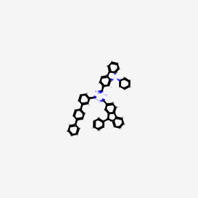 C1=CCC(n2c3ccccc3c3ccc(-c4nc(-c5cccc(-c6ccc(-c7ccccc7)cc6)c5)nc(-c5ccc6c(c5)C(c5ccccc5)c5ccccc5-6)n4)cc32)C=C1